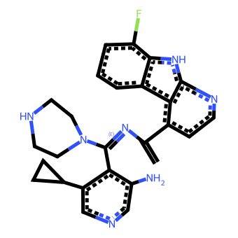 C=C(/N=C(\c1c(N)cncc1C1CC1)N1CCNCC1)c1ccnc2[nH]c3c(F)cccc3c12